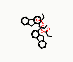 C[CH]=[Ti]([O]C(=O)CC)([O]C(=O)CC)([c]1cccc2c1Cc1ccccc1-2)[c]1cccc2c1Cc1ccccc1-2